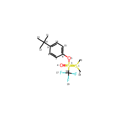 CS(C)=S(=O)(Oc1ccc(C(C)(C)C)cc1)C(F)(F)F